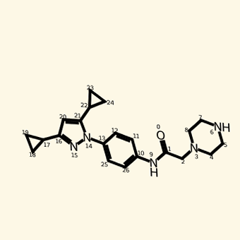 O=C(CN1CCNCC1)Nc1ccc(-n2nc(C3CC3)cc2C2CC2)cc1